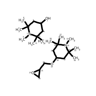 CN1C(C)(C)CC(O)CC1(C)C.CN1C(C)(C)CC(OCC2CO2)CC1(C)C